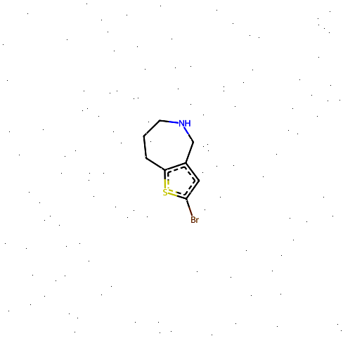 Brc1cc2c(s1)CCCNC2